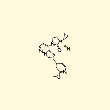 COc1cc(-c2cc3c(N4CC[C@@](C#N)(C5CC5)C4=O)ccnn3c2)ccn1